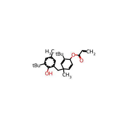 C=CC(=O)OC1C=CC(C)(Cc2cc(C)cc(C(C)(C)C)c2O)C=C1C(C)(C)C